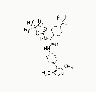 Cc1cnn(C)c1-c1ccc(NC(=O)C(NC(=O)OC(C)(C)C)C2CCC(C(F)(F)F)CC2)nc1